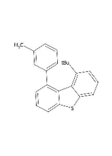 Cc1cccc(-c2cccc3sc4cccc(C(C)(C)C)c4c23)c1